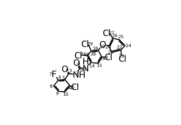 O=C(NC(=O)c1c(F)cccc1Cl)Nc1cc(Cl)c(Oc2cc(Cl)ccc2Cl)c(Cl)c1Cl